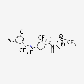 C=Cc1cc(Cl)cc(C(/C=C(\F)c2ccc(C(=O)NC(C)CS(=O)(=O)CC(F)(F)F)c(C(F)(F)F)c2)C(F)(F)F)c1